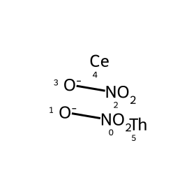 O=[N+]([O-])[O-].O=[N+]([O-])[O-].[Ce].[Th]